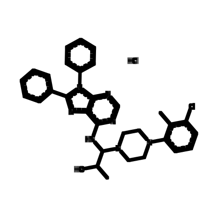 Cc1c(Cl)cccc1N1CCN(C(Nc2ncnc3c2nc(-c2ccccc2)n3-c2ccccc2)C(C)O)CC1.Cl